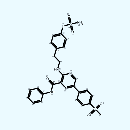 CS(=O)(=O)c1ccc(-c2cnc(NCCc3ccc(OS(N)(=O)=O)cc3)c(C(=O)Nc3ccccc3)n2)cc1